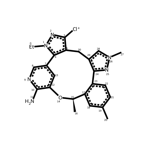 CCn1nc(Cl)c2c1-c1cnc(N)c(c1)O[C@H](C)c1cc(C)ccc1-c1nn(C)cc1C2